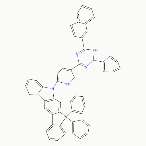 C1=C(C2=NC(c3ccccc3)NC(c3ccc4ccccc4c3)=N2)CNC(n2c3ccccc3c3cc4c(cc32)C(c2ccccc2)(c2ccccc2)c2ccccc2-4)=C1